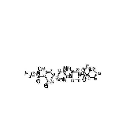 CN(C)C(=O)c1ccc(-c2cnc(N3CCN(S(=O)(=O)c4ccccc4F)CC3)c(N)c2)cc1Cl